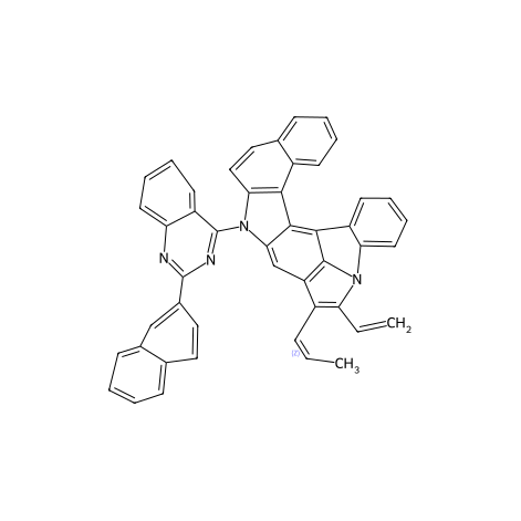 C=Cc1c(/C=C\C)c2cc3c(c4c5ccccc5ccc4n3-c3nc(-c4ccc5ccccc5c4)nc4ccccc34)c3c4ccccc4n1c23